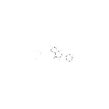 CCCCOc1ncc(C(C)=O)cc1-c1nn2c(CC)nc(CCN3CCOCC3)c2c(=O)[nH]1